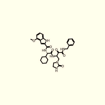 COc1cccc2[nH]c(C(=O)N[C@H](C(=O)NC(CN3CCNC3=O)C(=O)C(=O)NCc3ccccc3)C3CCCCC3)cc12